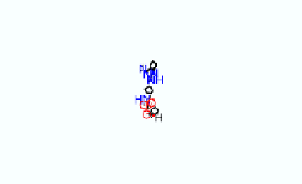 CN(C)c1nc(NC[C@H]2CC[C@H](CNS(=O)(=O)C[C@@]34CC[C@@H](CC3=O)C4(C)C)CC2)nc2ccccc12